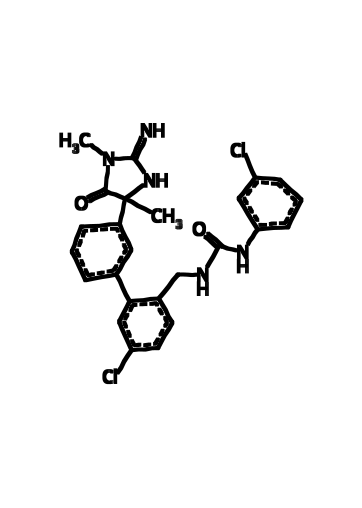 CN1C(=N)NC(C)(c2cccc(-c3cc(Cl)ccc3CNC(=O)Nc3cccc(Cl)c3)c2)C1=O